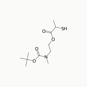 CC(S)C(=O)OCCN(C)C(=O)OC(C)(C)C